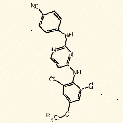 N#Cc1ccc(Nc2nccc(Nc3c(Cl)cc(OC(F)(F)F)cc3Cl)n2)cc1